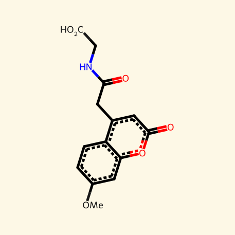 COc1ccc2c(CC(=O)NCC(=O)O)cc(=O)oc2c1